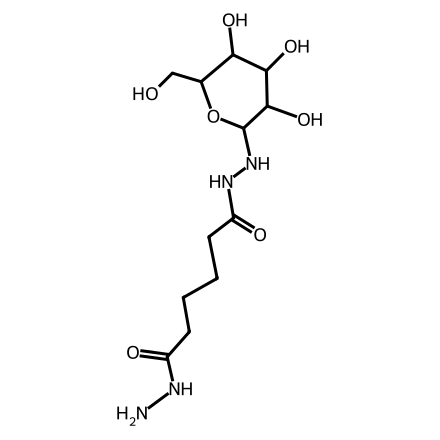 NNC(=O)CCCCC(=O)NNC1OC(CO)C(O)C(O)C1O